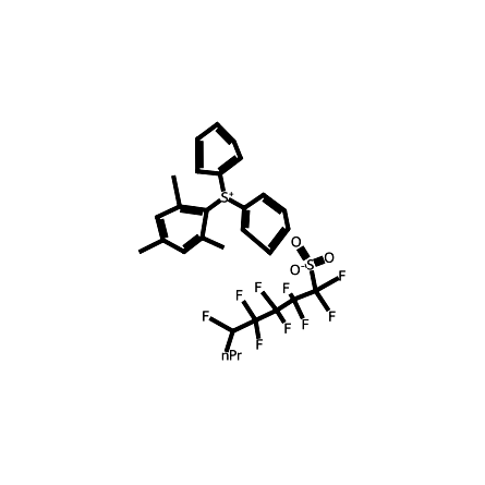 CCCC(F)C(F)(F)C(F)(F)C(F)(F)C(F)(F)S(=O)(=O)[O-].Cc1cc(C)c([S+](c2ccccc2)c2ccccc2)c(C)c1